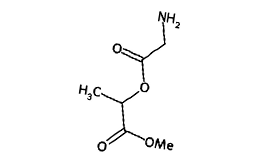 COC(=O)C(C)OC(=O)CN